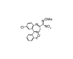 CON=C(C1=Nc2ccc(Cl)cc2C(c2ccccc2F)=[N+]([O-])C1)[N+](=O)[O-]